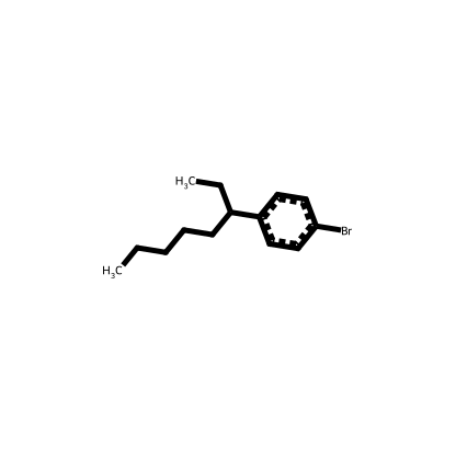 CCCCCC(CC)c1ccc(Br)cc1